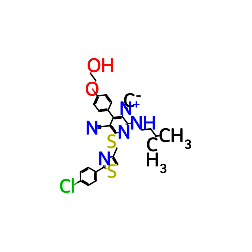 [C-]#[N+]c1c(NCCC(C)C)nc(SCc2csc(-c3ccc(Cl)cc3)n2)c(C#N)c1-c1ccc(OCCO)cc1